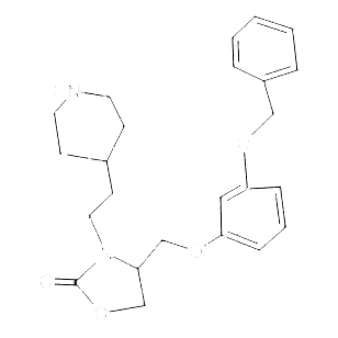 O=C1OCC(COc2cccc(OCc3ccccc3)c2)N1CCC1CCNCC1